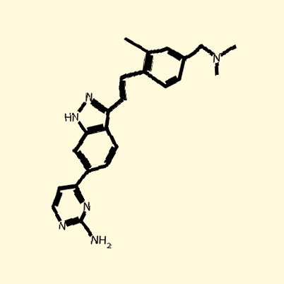 Cc1cc(CN(C)C)ccc1/C=C/c1n[nH]c2cc(-c3ccnc(N)n3)ccc12